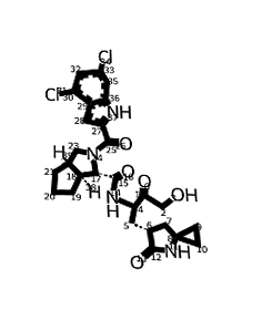 O=C(CO)C(C[C@@H]1CC2(CC2)NC1=O)NC(=O)[C@@H]1[C@H]2CCC[C@H]2CN1C(=O)c1cc2c(Cl)cc(Cl)cc2[nH]1